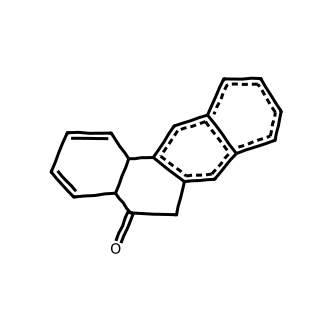 O=C1Cc2cc3ccccc3cc2C2C=CC=CC12